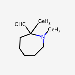 O=C[C]1([GeH3])CCCCC[N]1[GeH3]